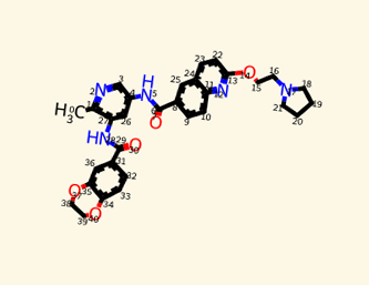 Cc1ncc(NC(=O)c2ccc3nc(OCCN4CCCC4)ccc3c2)cc1NC(=O)c1ccc2c(c1)OCCO2